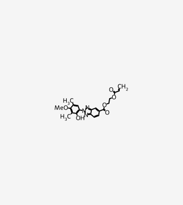 C=CC(=O)OCCOC(=O)c1ccc2nn(-c3cc(C)c(OC)c(C)c3O)nc2c1